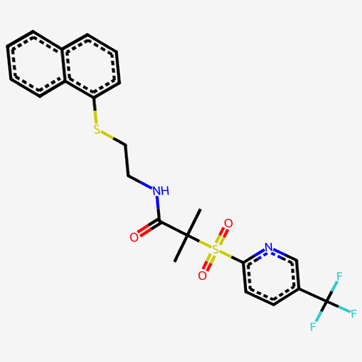 CC(C)(C(=O)NCCSc1cccc2ccccc12)S(=O)(=O)c1ccc(C(F)(F)F)cn1